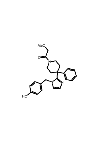 COCC(=O)N1CCC(c2ccccc2)(c2nccn2Cc2ccc(O)cc2)CC1